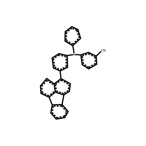 N#Cc1cccc(N(c2ccccc2)c2cccc(-c3ccc4c5c(cccc35)-c3ccccc3-4)c2)c1